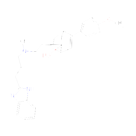 COc1ccc(C2=CC3CCC2CC3(O)CCN(C)CCCc2nc3ccccc3[nH]2)cc1